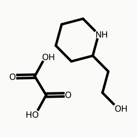 O=C(O)C(=O)O.OCCC1CCCCN1